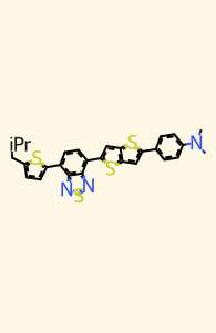 CC(C)Cc1ccc(-c2ccc(-c3cc4sc(-c5ccc(N(C)C)cc5)cc4s3)c3nsnc23)s1